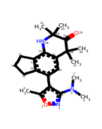 Cc1onc(N(C)C)c1-c1cc2c(c3c1CCC3)NC(C)(C)C(=O)C2(C)C